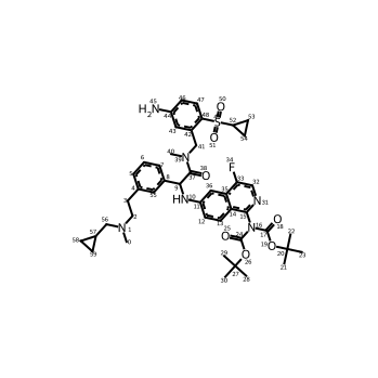 CN(CCc1cccc(C(Nc2ccc3c(N(C(=O)OC(C)(C)C)C(=O)OC(C)(C)C)ncc(F)c3c2)C(=O)N(C)Cc2cc(N)ccc2S(=O)(=O)C2CC2)c1)CC1CC1